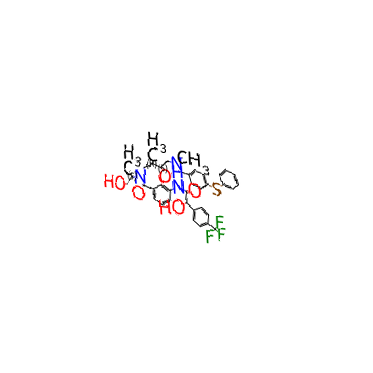 C[C@@H]1CN([C@@H](C)CO)C(=O)c2cccc(NC(=O)C(O)c3ccc(C(F)(F)F)cc3)c2O[C@@H]1CN(C)Cc1ccc(Sc2ccccc2)cc1